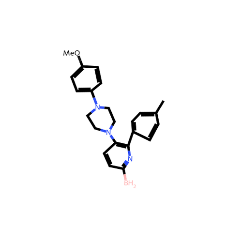 Bc1ccc(N2CCN(c3ccc(OC)cc3)CC2)c(-c2ccc(C)cc2)n1